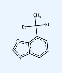 CCC(C)(CC)c1cccc2ncoc12